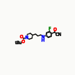 CC(C)(C)OC(=O)N1CCC(CCCNc2ccc(C(=O)C#N)c(F)c2)CC1